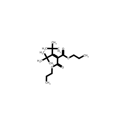 CCCOC(=O)C(C(=O)OCCC)=C(C(C)(C)C)C(C)(C)C